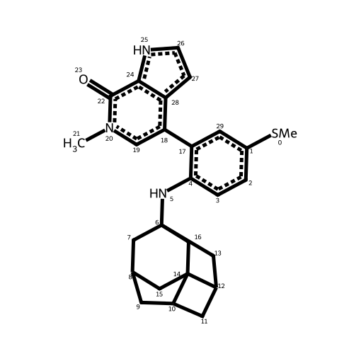 CSc1ccc(NC23CC4CC5CC(C2)C5(C4)C3)c(-c2cn(C)c(=O)c3[nH]ccc23)c1